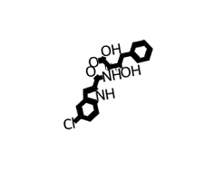 O=C(N[C@@H](C(=O)O)[C@@H](O)Cc1ccccc1)c1cc2cc(Cl)ccc2[nH]1